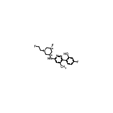 Cc1cc(N[C@@H]2C[C@@H](F)CN(CCF)C2)nnc1-c1ccc(F)cc1O